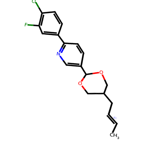 C/C=C/CC1COC(c2ccc(-c3ccc(Cl)c(F)c3)nc2)OC1